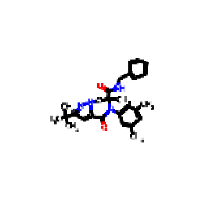 Cc1cc(C)cc(N2C(=O)c3cc(C(C)(C)C)nn3CC2(C)C(=O)NCc2ccccc2)c1